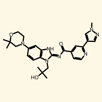 Cn1cc(-c2cc(C(=O)/N=c3\[nH]c4cc(N5CCOC(C)(C)C5)ccc4n3CC(C)(C)O)ccn2)cn1